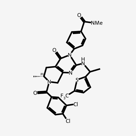 CNC(=O)c1ccc(-n2c(NC(C)c3ccc(C(F)(F)F)s3)nc3c(c2=O)C[C@@H](C)N(C(=O)c2ccc(Cl)c(Cl)c2)C3)cc1